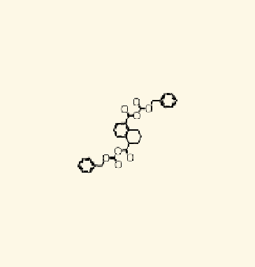 O=C(OCc1ccccc1)OC(=O)c1cccc2c1CCCC2C(=O)OC(=O)OCc1ccccc1